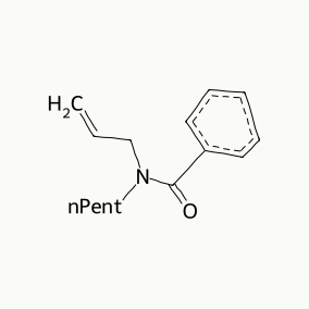 C=CCN(CCCCC)C(=O)c1ccccc1